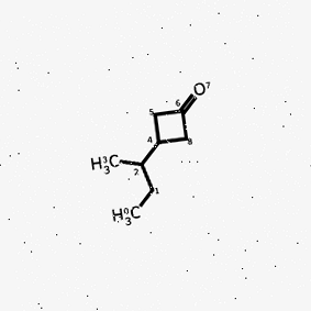 CCC(C)C1CC(=O)C1